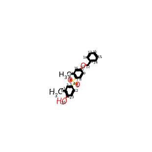 Cc1cc(S(=O)(=O)c2ccc(OCc3ccccc3)cc2C)ccc1O